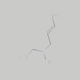 CN/C=C/CN(C)CN